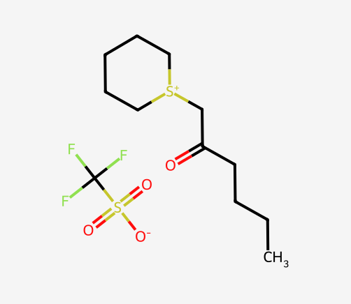 CCCCC(=O)C[S+]1CCCCC1.O=S(=O)([O-])C(F)(F)F